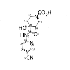 N#Cc1ccc(NC(=O)C2(O)CCN(C(=O)O)CC2)nc1